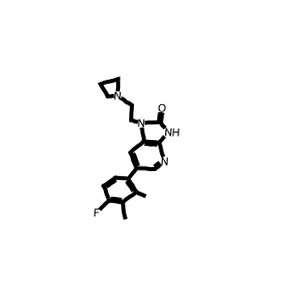 Cc1c(F)ccc(-c2cnc3[nH]c(=O)n(CCN4CCC4)c3c2)c1C